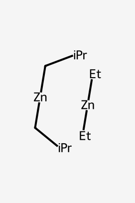 CC(C)[CH2][Zn][CH2]C(C)C.C[CH2][Zn][CH2]C